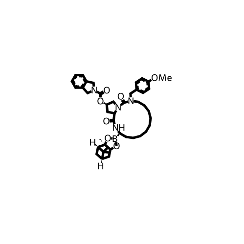 COc1ccc(CN2CCCCCCCCC[C@@H](B3OC4C[C@H]5C[C@H](C5(C)C)[C@@]4(C)O3)NC(=O)C3C[C@@H](OC(=O)N4Cc5ccccc5C4)CN3C2=O)cc1